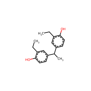 CCc1cc(C(C)c2ccc(O)c(CC)c2)ccc1O